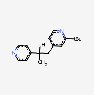 CC(C)(C)c1cc(CC(C)(C)c2ccncc2)ccn1